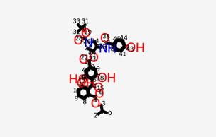 CC(C)COC(=O)c1cccc(O)c1C(=O)c1c(O)cc(C(=O)O[C@@H]2CN(C(=O)OC(C)(C)C)C[C@H]2NC(=O)c2ccc(O)cc2)cc1O